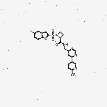 O=C(NCc1cc(-c2ccc(C(F)(F)F)nc2)ncn1)[C@@H]1CCN1S(=O)(=O)c1cc2cc(F)ccc2o1